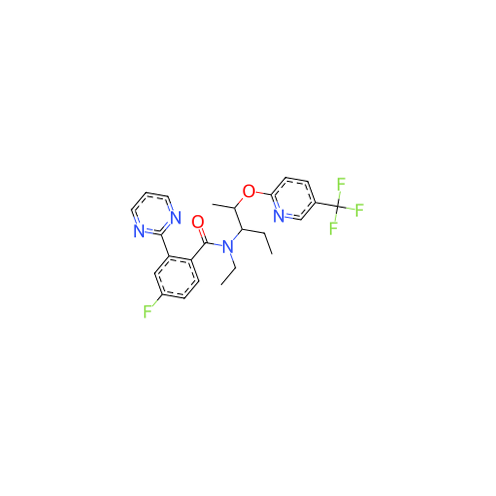 CCC(C(C)Oc1ccc(C(F)(F)F)cn1)N(CC)C(=O)c1ccc(F)cc1-c1ncccn1